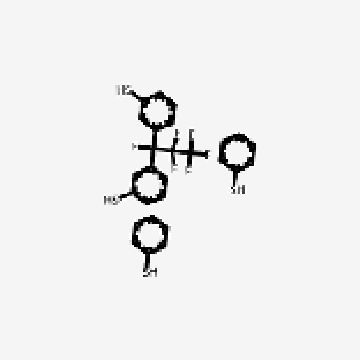 FC(F)(F)C(F)(F)C(F)(c1cccc(S)c1)c1cccc(S)c1.Sc1ccccc1.Sc1ccccc1